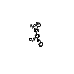 O=[N+]([O-])c1cc(-c2csc(-c3cccnc3C(F)(F)F)n2)ccc1OCc1ccccc1